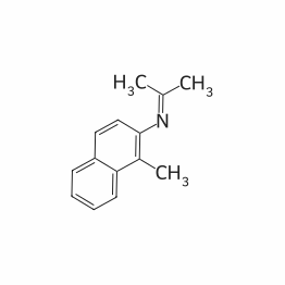 CC(C)=Nc1ccc2ccccc2c1C